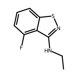 CCNc1nsc2cccc(F)c12